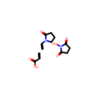 C=CC(=O)O.C=CN1CCCC1=O.O=C1CCC(=O)N1O